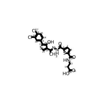 CC(=NNC(=O)c1ccc(C(=O)NCCC(=O)O)s1)c1csc(-c2ccc(Cl)c(Cl)c2)c1O